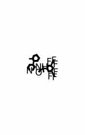 Cc1ccccc1-c1ccncc1NC(=O)C(C)(C)c1cc(C(F)(F)F)cc(C(F)(F)F)c1